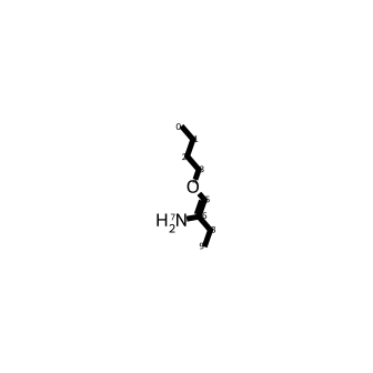 CCCCOC=C(N)CC